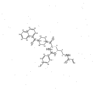 C=CC(=O)NCCCC[C@H](NC(=O)c1ccc(F)cc1)C(=O)N1CCN(C(=O)c2cccc3ccccc23)CC1